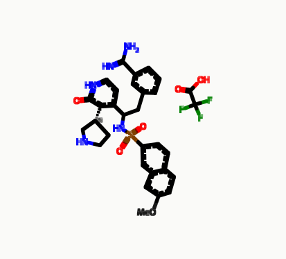 COc1ccc2ccc(S(=O)(=O)NC(Cc3cccc(C(=N)N)c3)c3cc[nH]c(=O)c3[C@@H]3CCNC3)cc2c1.O=C(O)C(F)(F)F